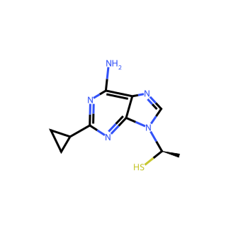 C[C@@H](S)n1cnc2c(N)nc(C3CC3)nc21